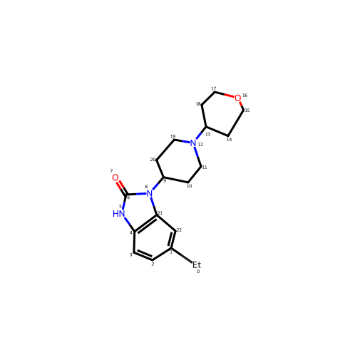 CCc1ccc2[nH]c(=O)n(C3CCN(C4CCOCC4)CC3)c2c1